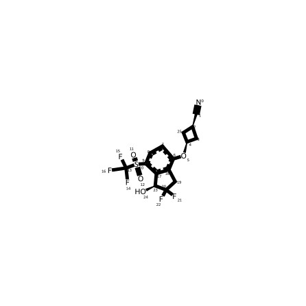 N#C[C@H]1C[C@@H](Oc2ccc(S(=O)(=O)C(F)(F)F)c3c2CC(F)(F)[C@H]3O)C1